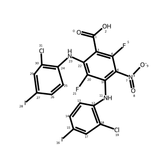 O=C(O)c1c(F)c([N+](=O)[O-])c(Nc2ccc(I)cc2Cl)c(F)c1Nc1ccc(I)cc1Cl